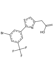 C=C(O)Cc1csc(-c2cc(Br)cc(C(F)(F)F)c2)n1